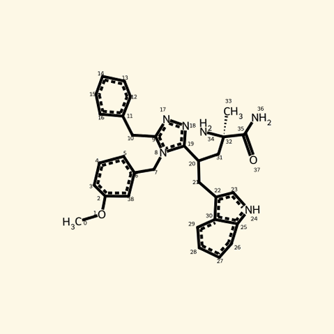 COc1cccc(Cn2c(Cc3ccccc3)nnc2C(Cc2c[nH]c3ccccc23)C[C@@](C)(N)C(N)=O)c1